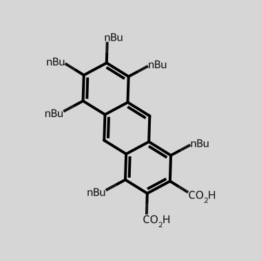 CCCCc1c(CCCC)c(CCCC)c2cc3c(CCCC)c(C(=O)O)c(C(=O)O)c(CCCC)c3cc2c1CCCC